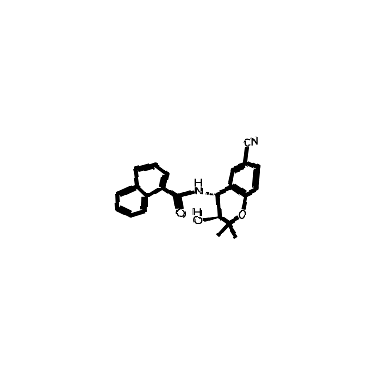 CC1(C)Oc2ccc(C#N)cc2[C@@H](NC(=O)c2cccc3ccccc23)[C@@H]1O